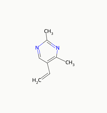 C=Cc1cnc(C)nc1C